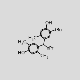 CCCC(c1cc(C)c(O)cc1C)c1cc(C(C)(C)C)c(O)cc1C